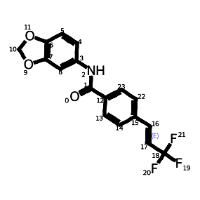 O=C(Nc1ccc2c(c1)OCO2)c1ccc(/C=C/C(F)(F)F)cc1